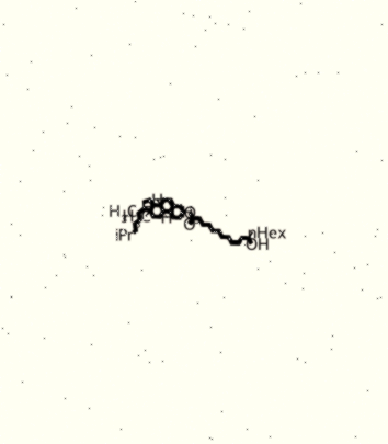 CCCCCC[C@@H](O)C/C=C\CCCCCCCC(=O)O[C@H]1CC[C@@]2(C)C(=CC[C@H]3[C@@H]4CC[C@H]([C@H](C)CCCC(C)C)[C@@]4(C)CC[C@@H]32)C1